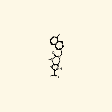 CC(=O)c1nc2c([nH]1)CN(Cc1ccc3c(C)cccc3c1)C(=O)N2C